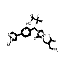 CCn1cc(-c2ccc(Cn3cnn(CC(CN)=C(F)F)c3=O)cc2)cn1.O=C(O)C(F)(F)F